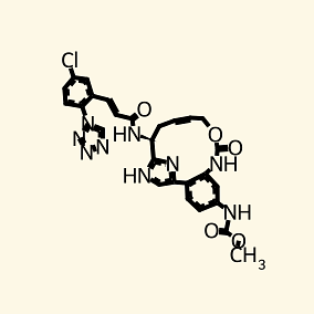 COC(=O)Nc1ccc2c(c1)NC(=O)OC/C=C/C[C@H](NC(=O)/C=C/c1cc(Cl)ccc1-n1cnnn1)c1nc-2c[nH]1